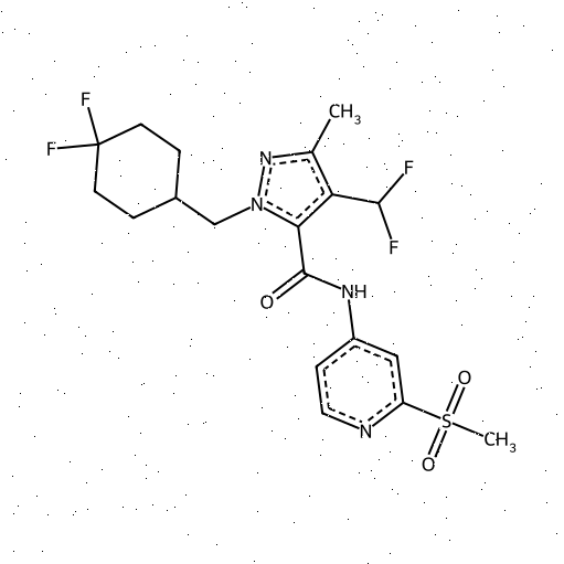 Cc1nn(CC2CCC(F)(F)CC2)c(C(=O)Nc2ccnc(S(C)(=O)=O)c2)c1C(F)F